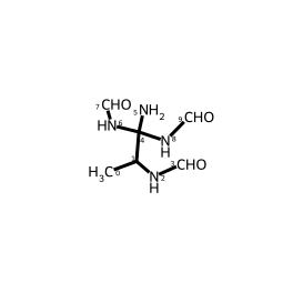 CC(NC=O)C(N)(NC=O)NC=O